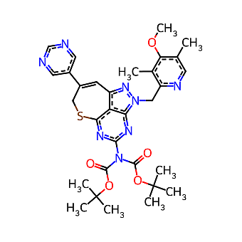 COc1c(C)cnc(Cn2nc3c4c(nc(N(C(=O)OC(C)(C)C)C(=O)OC(C)(C)C)nc42)SCC(c2cncnc2)=C3)c1C